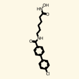 O=C(CCCCCNC(=O)c1ccc(-c2ccc(Cl)cc2)cc1)NO